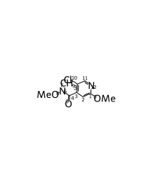 COc1cc(C(=O)N(C)OC)c(Cl)cn1